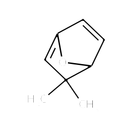 CC1(C)C=C2C=CC1O2